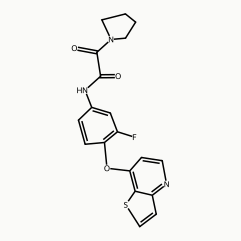 O=C(Nc1ccc(Oc2ccnc3ccsc23)c(F)c1)C(=O)N1CCCC1